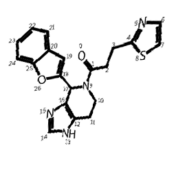 O=C(CCc1nccs1)N1CCc2[nH]cnc2C1c1cc2ccccc2o1